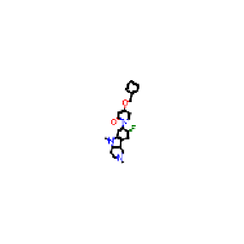 CN1CCC2C(C1)c1cc(F)c(-n3ccc(OCc4ccccc4)cc3=O)cc1N2C